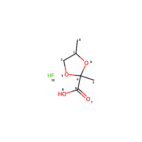 CC1COC(C)(C(=O)O)O1.F